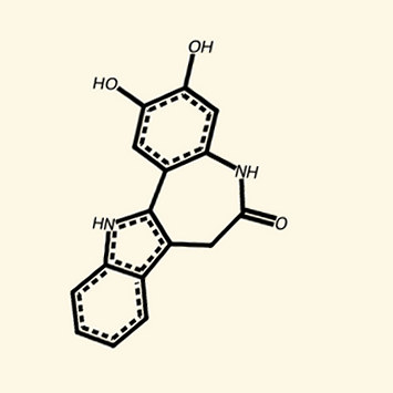 O=C1Cc2c([nH]c3ccccc23)-c2cc(O)c(O)cc2N1